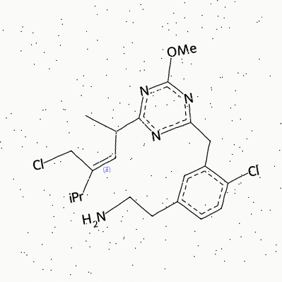 COc1nc(Cc2cc(CCN)ccc2Cl)nc(C(C)/C=C(\CCl)C(C)C)n1